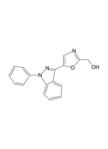 OCc1ncc(-c2nn(-c3ccccc3)c3ccccc23)o1